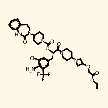 CCOC(=O)COC1CN(C2CCN(C(=O)[C@@H](Cc3cc(Cl)c(N)c(C(F)(F)F)c3)OC(=O)N3CCC(N4CCc5ccccc5NC4=O)CC3)CC2)C1